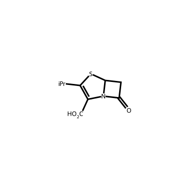 CC(C)C1=C(C(=O)O)N2C(=O)CC2S1